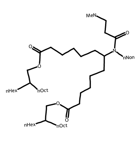 CCCCCCCCCN(C(=O)CCNC)C(CCCCCC(=O)OCC(CCCCCC)CCCCCCCC)CCCCCC(=O)OCC(CCCCCC)CCCCCCCC